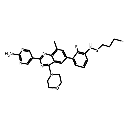 Cc1cc(-c2cccc(NSCCCF)c2F)cc2c(N3CCOCC3)nc(-c3cnc(N)nc3)nc12